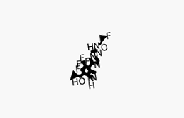 O=C(Nc1cn2cc(-c3c(C(F)(F)F)c(F)c(C(O)C4CC4)c4[nH]ncc34)ncc2n1)[C@@H]1C[C@@H]1F